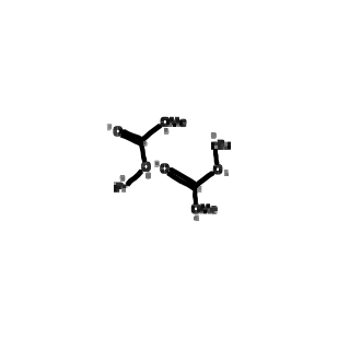 CCCCOC(=O)OC.COC(=O)OC(C)C